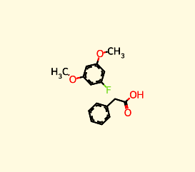 COc1cc(F)cc(OC)c1.O=C(O)Cc1ccccc1